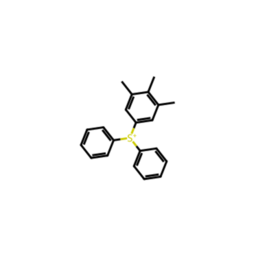 Cc1cc([S+](c2ccccc2)c2ccccc2)cc(C)c1C